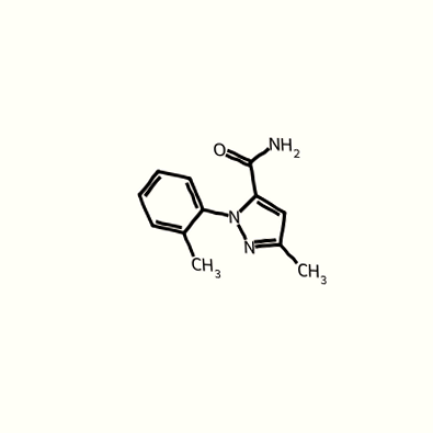 Cc1cc(C(N)=O)n(-c2ccccc2C)n1